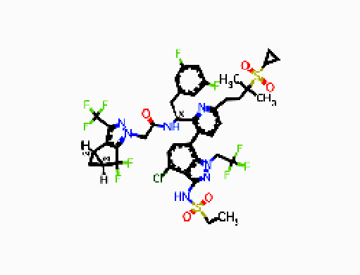 CCS(=O)(=O)Nc1nn(CC(F)(F)F)c2c(-c3ccc(CCC(C)(C)S(=O)(=O)C4CC4)nc3[C@H](Cc3cc(F)cc(F)c3)NC(=O)Cn3nc(C(F)(F)F)c4c3C(F)(F)[C@@H]3C[C@H]43)ccc(Cl)c12